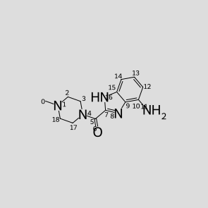 CN1CCN(C(=O)c2nc3c(N)cccc3[nH]2)CC1